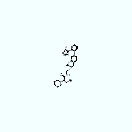 CCCC(=O)N(CCNC(=O)C(CS)C1CCCCC1)Cc1ccc(-c2ccccc2-c2nnn[nH]2)cc1